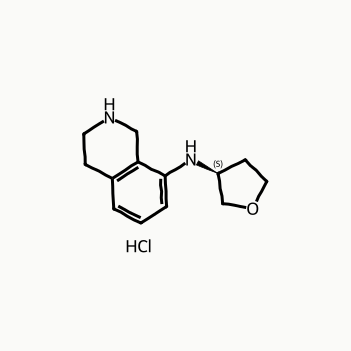 Cl.c1cc2c(c(N[C@H]3CCOC3)c1)CNCC2